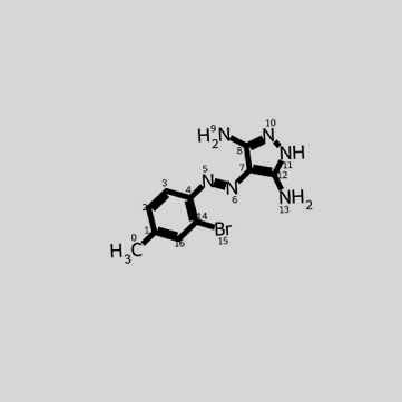 Cc1ccc(N=Nc2c(N)n[nH]c2N)c(Br)c1